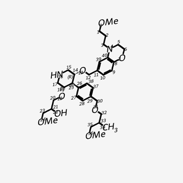 COCCCN1CCOc2ccc(CO[C@H]3CNC[C@@H](OCC(O)COC)[C@@H]3c3ccc(COCC(C)COC)cc3)cc21